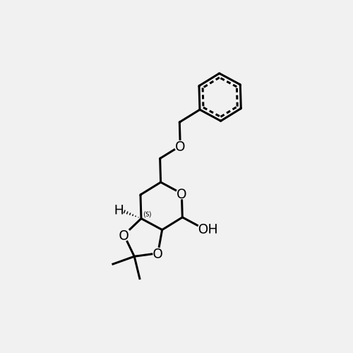 CC1(C)OC2C(O)OC(COCc3ccccc3)C[C@@H]2O1